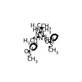 CCNc1nc(NC(C)(C)C)nc(SC)n1.CCSC(=O)N1CCCCCC1.CCSC(=O)N1CCCCCC1